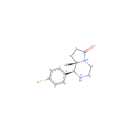 O=C1CC[C@H]2[C@H](c3ccc(F)cc3)NCCN12